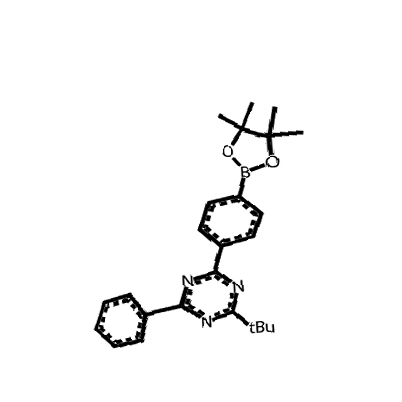 CC(C)(C)c1nc(-c2ccccc2)nc(-c2ccc(B3OC(C)(C)C(C)(C)O3)cc2)n1